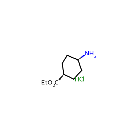 CCOC(=O)[C@H]1CC[C@@H](N)CC1.Cl